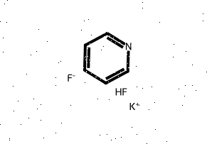 F.[F-].[K+].c1ccncc1